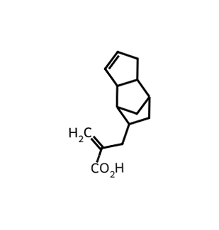 C=C(CC1CC2CC1C1C=CCC21)C(=O)O